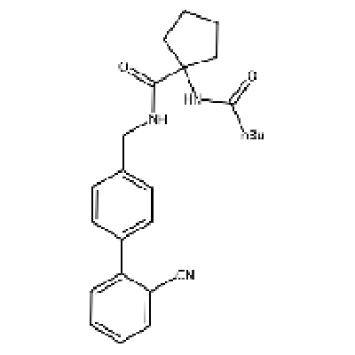 CCCCC(=O)NC1(C(=O)NCc2ccc(-c3ccccc3C#N)cc2)CCCC1